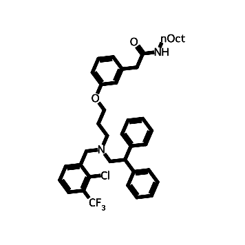 CCCCCCCCNC(=O)Cc1cccc(OCCCN(Cc2cccc(C(F)(F)F)c2Cl)CC(c2ccccc2)c2ccccc2)c1